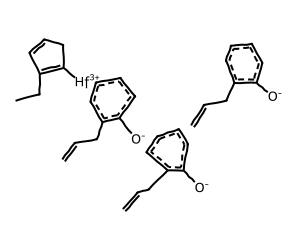 C=CCc1ccccc1[O-].C=CCc1ccccc1[O-].C=CCc1ccccc1[O-].CCC1=[C]([Hf+3])CC=C1